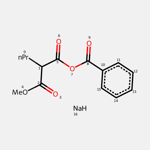 CCCC(C(=O)OC)C(=O)OC(=O)c1ccccc1.[NaH]